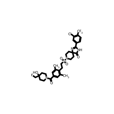 Cc1cc(C(=O)N2CCC(O)(CF)CC2)cc(C)c1CCS(=O)(=O)N1CCC2(CC1)N=C(c1ccc(C(F)(F)F)c(Cl)c1)NC2=O